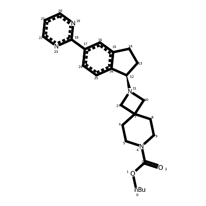 CCCCOC(=O)N1CCC2(CC1)CN([C@@H]1CCc3cc(-c4ncccn4)ccc31)C2